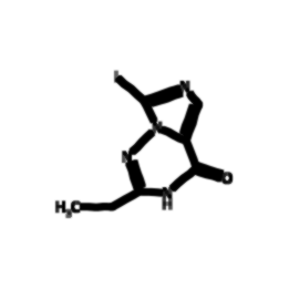 CCc1nn2c(I)ncc2c(=O)[nH]1